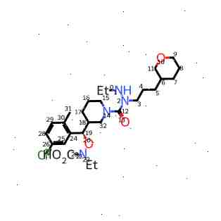 CCNN(CCCC1CCCOC1)C(=O)N1CCCC([C@@H](ON(CC)C(=O)O)c2cc(Cl)ccc2C)C1